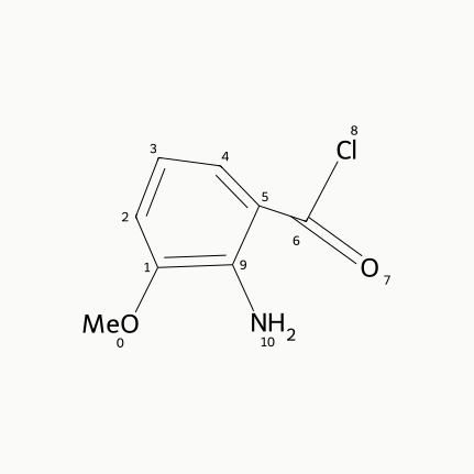 COc1cccc(C(=O)Cl)c1N